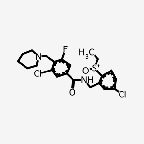 CC[S+]([O-])c1ccc(Cl)cc1CNC(=O)c1cc(F)c(CN2CCCCC2)c(Cl)c1